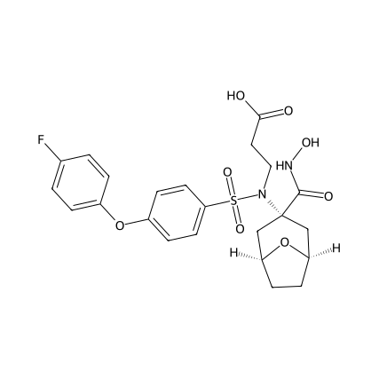 O=C(O)CCN([C@]1(C(=O)NO)C[C@H]2CC[C@@H](C1)O2)S(=O)(=O)c1ccc(Oc2ccc(F)cc2)cc1